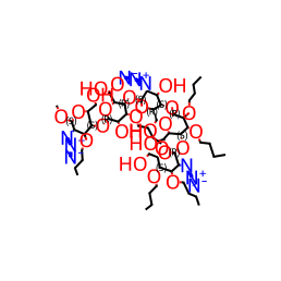 CCCCOC1C(OCCCC)[C@H](O[C@H]2OC(CO)[C@@H](OCCCC)C(OCCCC)C2N=[N+]=[N-])C(C(=O)O)O[C@H]1O[C@H]1C(O)C(N=[N+]=[N-])[C@H](O[C@H]2C(C(=O)O)O[C@@H](O[C@@H]3C(CO)O[C@H](OC)C(N=[N+]=[N-])C3OCCCC)C(O)C2OCCCC)O[C@@H]1CO